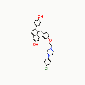 Oc1ccc(-c2ccc3cc(O)ccc3c2Cc2ccc(OCCN3CCN(c4ccc(Cl)cc4)CC3)cc2)cc1